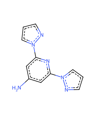 Nc1cc(-n2cccn2)nc(-n2cccn2)c1